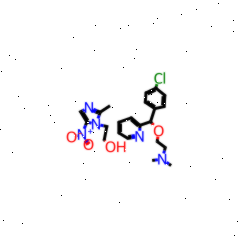 CN(C)CCOC(c1ccc(Cl)cc1)c1ccccn1.Cc1ncc([N+](=O)[O-])n1CCO